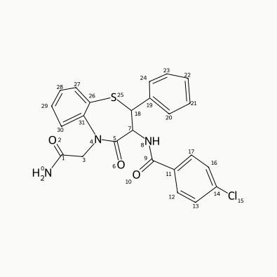 NC(=O)CN1C(=O)C(NC(=O)c2ccc(Cl)cc2)C(c2ccccc2)Sc2ccccc21